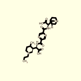 CCCN1CCC(C)[C@@H]([C@@H](NC(=O)c2cnc(C(=O)N[C@@H](C(=O)O)[C@H]3CN4CCC3CC4)cn2)C(=O)O)C1